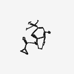 O=C(C1CC1)N1CCOc2c(Br)cc(C(F)(F)F)cc21